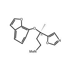 CNCC[C@@](C)(Oc1cccc2ccoc12)c1cnco1